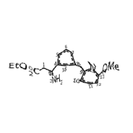 CCOC(=O)C[C@H](N)c1cccc(-c2cccc(OC)n2)c1